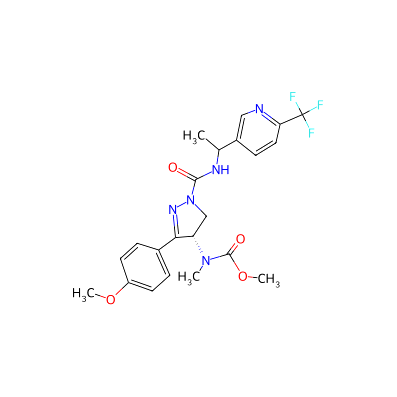 COC(=O)N(C)[C@H]1CN(C(=O)NC(C)c2ccc(C(F)(F)F)nc2)N=C1c1ccc(OC)cc1